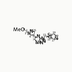 COCCn1cc(-c2cnc3nnn(Cc4cc5cnccc5s4)c3n2)cn1